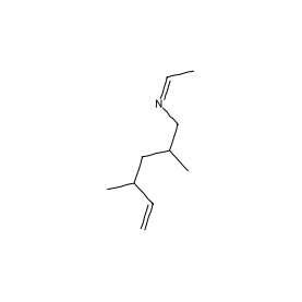 C=CC(C)CC(C)C/N=C\C